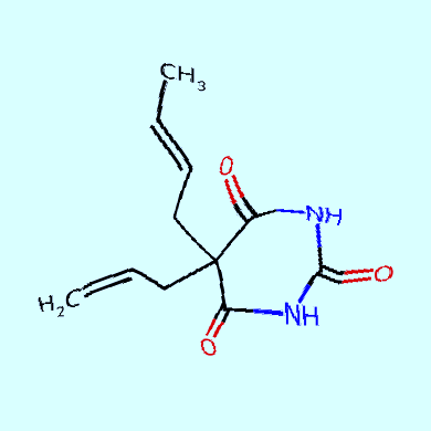 C=CCC1(CC=CC)C(=O)NC(=O)NC1=O